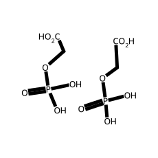 O=C(O)COP(=O)(O)O.O=C(O)COP(=O)(O)O